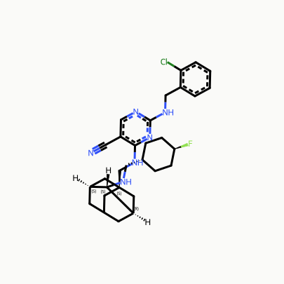 N#Cc1cnc(NCc2ccccc2Cl)nc1NC[C@]12CC3C[C@H](C1)[C@@H](NC[C@H]1CC[C@H](F)CC1)[C@@H](C3)C2